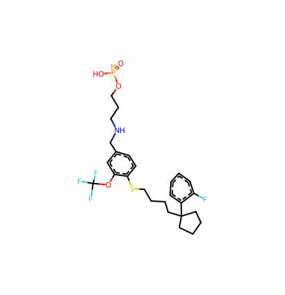 O=[PH](O)OCCCNCc1ccc(SCCCCC2(c3ccccc3F)CCCC2)c(OC(F)(F)F)c1